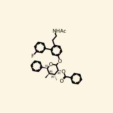 CC(=O)NCCc1ccc(OC2O[C@H](c3ccccc3)[C@H](C)[C@@H](C)[C@H]2OC(=O)c2ccccc2)cc1-c1cccc(F)c1